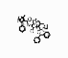 Cc1onc(-c2ccccc2)c1C(=O)N[C@@H]1C(=O)N2C(C(=O)OC(c3ccccc3)c3ccccc3)=C(CCl)CS[C@H]12